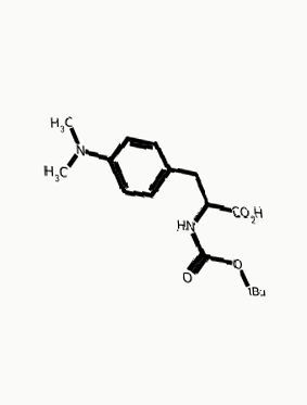 CN(C)c1ccc(CC(NC(=O)OC(C)(C)C)C(=O)O)cc1